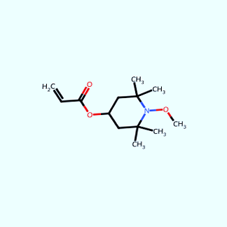 C=CC(=O)OC1CC(C)(C)N(OC)C(C)(C)C1